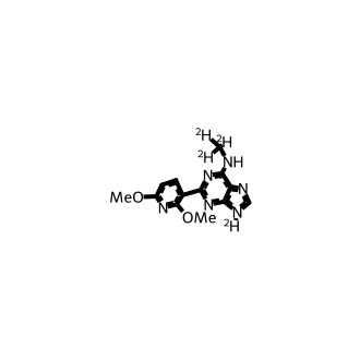 [2H]n1cnc2c(NC([2H])([2H])[2H])nc(-c3ccc(OC)nc3OC)nc21